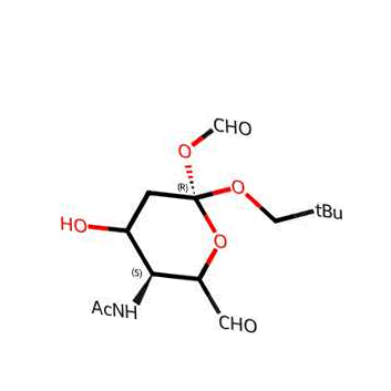 CC(=O)N[C@H]1C(O)C[C@@](OC=O)(OCC(C)(C)C)OC1C=O